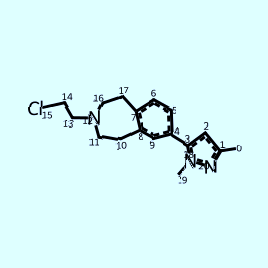 Cc1cc(-c2ccc3c(c2)CCN(CCCl)CC3)n(C)n1